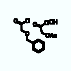 CC(=O)OCC(=O)Cl.Cl.O=C(Cl)COCc1ccccc1